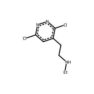 CCNCCc1cc(Cl)nnc1Cl